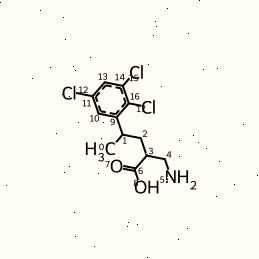 CC(CC(CN)C(=O)O)c1cc(Cl)cc(Cl)c1Cl